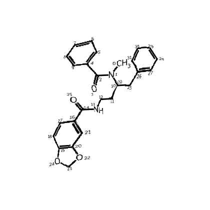 CN(C(=O)c1ccccc1)[C@H](CCNC(=O)c1ccc2c(c1)OCO2)Cc1ccccc1